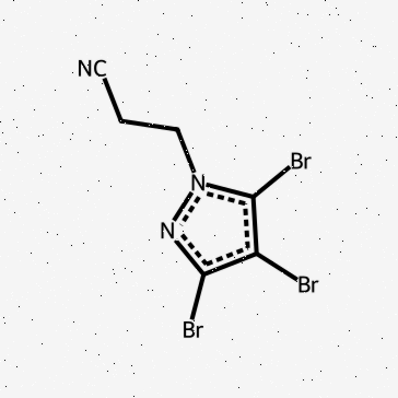 N#CCCn1nc(Br)c(Br)c1Br